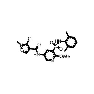 COc1ncc(NC(=O)c2cnn(C)c2Cl)cc1S(=O)(=O)Nc1c(C)cccc1C